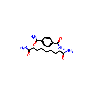 NC(=O)CCCCCCCC(N)=O.NC(=O)c1ccc(C(N)=O)cc1